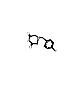 O=C1CN(Cc2ccc(F)cc2)CC(=O)[N]1